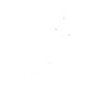 CCC(C)c1ccc(-c2nc3ccccc3n2-c2ccccc2C)cc1